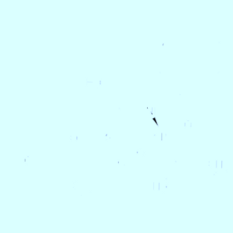 CC(C)OC(=O)[C@H](C)N[P@@](=O)(Oc1ccccc1)C(C)C